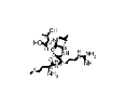 CSCC[C@H](N)C(=O)N[C@@H](CCCNC(=N)N)C(=O)N[C@@H](CC(C)C)C(=O)N[C@H](C(=O)O)[C@@H](C)O